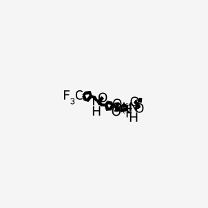 C=CS(=O)(=O)NC[C@H]1CN(S(=O)(=O)c2ccc(CC(=O)NCc3ccc(C(F)(F)F)cc3)cc2)C[C@@H]1F